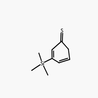 C[Si](C)(C)C1=CC(=S)CC=C1